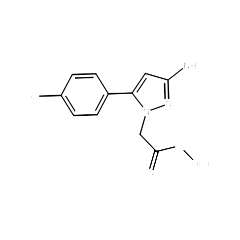 CCCCOC(=O)Cn1nc(N)cc1-c1ccc(Cl)cc1